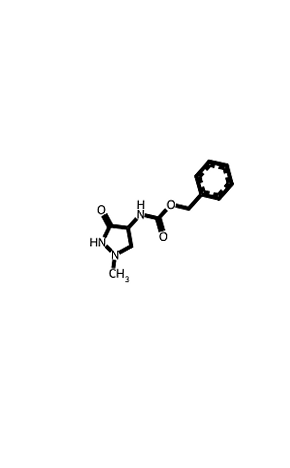 CN1CC(NC(=O)OCc2ccccc2)C(=O)N1